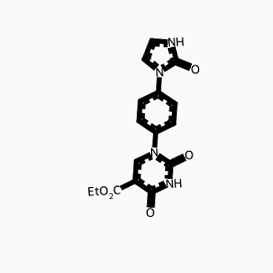 CCOC(=O)c1cn(-c2ccc(-n3cc[nH]c3=O)cc2)c(=O)[nH]c1=O